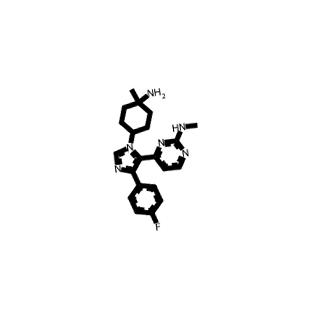 CNc1nccc(-c2c(-c3ccc(F)cc3)ncn2C2CCC(C)(N)CC2)n1